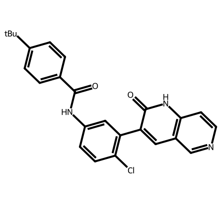 CC(C)(C)c1ccc(C(=O)Nc2ccc(Cl)c(-c3cc4cnccc4[nH]c3=O)c2)cc1